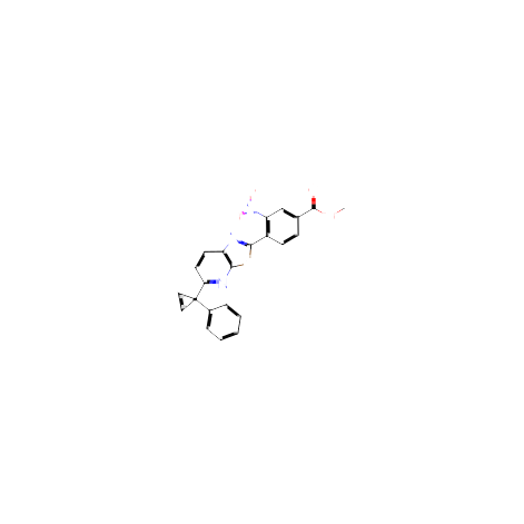 COC(=O)c1ccc(-c2nc3ccc(C4(c5ccccc5)C=C4)nc3s2)c([N+](=O)[O-])c1